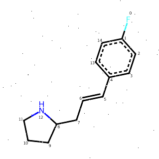 Fc1ccc(/C=C/CC2CCCN2)cc1